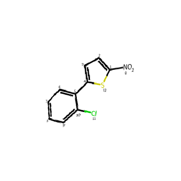 O=[N+]([O-])c1ccc(-c2ccccc2Cl)s1